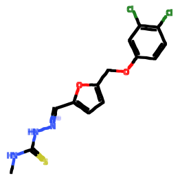 CNC(=S)N/N=C/c1ccc(COc2ccc(Cl)c(Cl)c2)o1